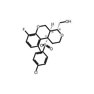 O=S(=O)(c1ccc(Cl)cc1)[C@@]12CCO[C@@H](CO)[C@@H]1COc1c(F)ccc(F)c12